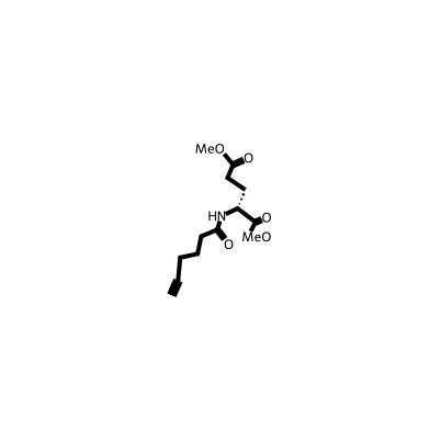 C#CCCCC(=O)N[C@H](CCC(=O)OC)C(=O)OC